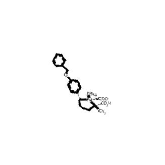 CC(C)(C)[N+]1(C(=O)[O-])[C@@H](c2ccc(OCc3ccccc3)cc2)CC[C@@]1(C)C(=O)O